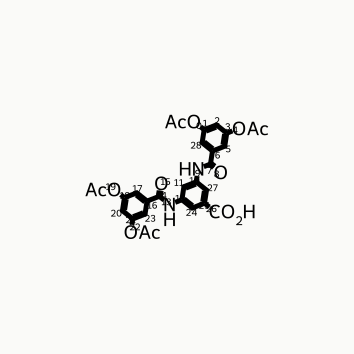 CC(=O)Oc1cc(OC(C)=O)cc(C(=O)Nc2cc(NC(=O)c3cc(OC(C)=O)cc(OC(C)=O)c3)cc(C(=O)O)c2)c1